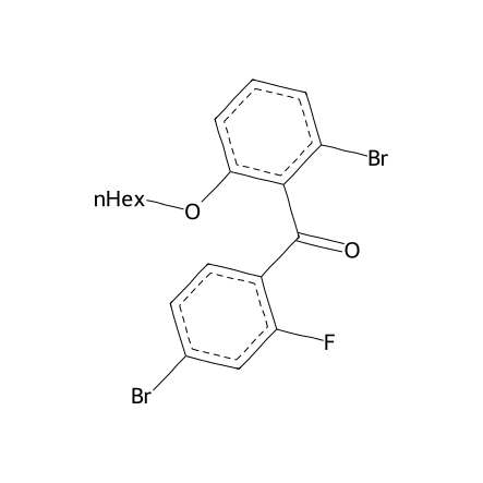 CCCCCCOc1cccc(Br)c1C(=O)c1ccc(Br)cc1F